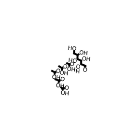 CC(=O)O.CC(=O)O.CC(=O)O.CC(=O)O.CC(=O)O.O=CC(O)C(O)C(O)C(O)CO